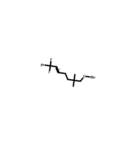 CC(C)C(F)(F)/C=C/CCC(C)(C)COC(C)(C)C